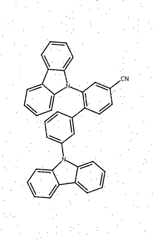 N#Cc1ccc(-c2cccc(-n3c4ccccc4c4ccccc43)c2)c(-n2c3ccccc3c3ccccc32)c1